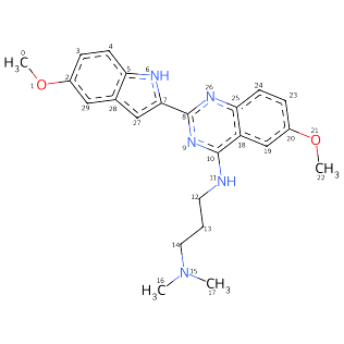 COc1ccc2[nH]c(-c3nc(NCCCN(C)C)c4cc(OC)ccc4n3)cc2c1